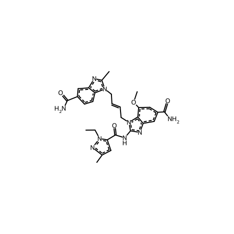 CCn1nc(C)cc1C(=O)Nc1nc2cc(C(N)=O)cc(OC)c2n1CC=CCn1c(C)nc2cc(C(N)=O)ccc21